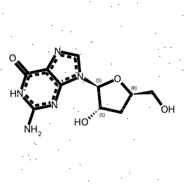 Nc1nc2c(ncn2[C@H]2O[C@@H](CO)C[C@@H]2O)c(=O)[nH]1